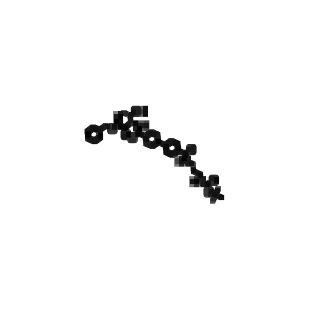 C[C@@H](O)[C@H](NC(=O)c1ccc(-c2ccc(C(=O)NCCCNC(=O)OC(C)(C)C)cc2)cc1)C(=O)NOCc1ccccc1